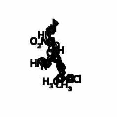 CC1(C)CCC(CN2CCN(c3ccc(C(=O)NS(=O)(=O)c4ccc(NC5CCN(C6CC6)CC5)c([N+](=O)[O-])c4)c(Oc4ccnc5[nH]ccc45)c3)CC2)=C(c2ccc(Cl)cc2)C1